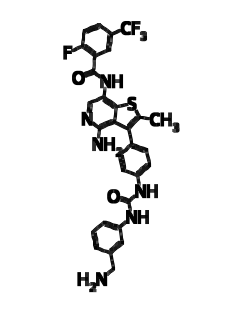 Cc1sc2c(NC(=O)c3cc(C(F)(F)F)ccc3F)cnc(N)c2c1-c1ccc(NC(=O)Nc2cccc(CN)c2)cc1